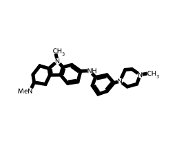 CNC1CCc2c(c3ccc(Nc4cccc(N5CCN(C)CC5)c4)cc3n2C)C1